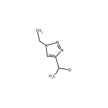 CCn1cc(C(C)[O])nn1